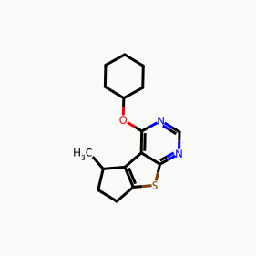 CC1CCc2sc3ncnc(OC4CCCCC4)c3c21